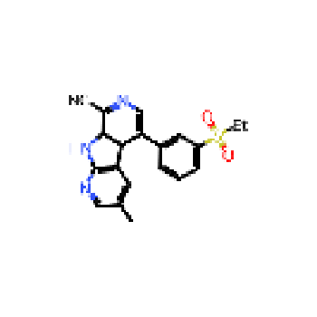 CCS(=O)(=O)c1cccc(C2=CN=C(C#N)C3Nc4ncc(C)cc4C23)c1